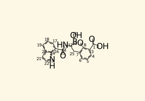 O=C(O)c1cccc2c1OB(O)C(NC(=O)c1cccc3cc[nH]c13)C2